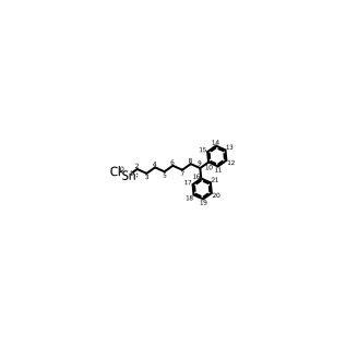 [Cl][Sn][CH2]CCCCCCC(c1ccccc1)c1ccccc1